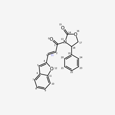 O=C(/C=C/c1cc2ccccc2o1)N1C(=O)OCC1c1ccccc1